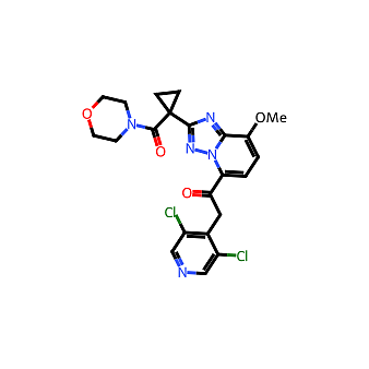 COc1ccc(C(=O)Cc2c(Cl)cncc2Cl)n2nc(C3(C(=O)N4CCOCC4)CC3)nc12